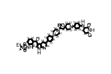 CCN(C)S(=O)(=O)Nc1cccc(C(=O)c2c[nH]c3ncc(-c4ccc(N5CCN(C(=O)CC6(O)CCN(c7ccc(NC8CCC(=O)NC8=O)cc7)CC6)CC5)cc4)cc23)c1F